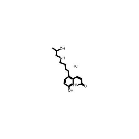 CC(O)CNCCCCc1ccc(O)c2[nH]c(=O)ccc12.Cl